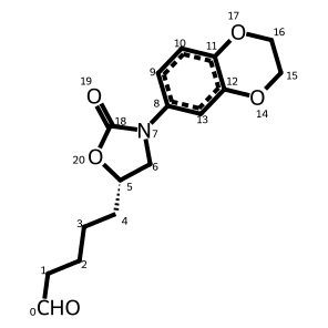 O=CCCCC[C@H]1CN(c2ccc3c(c2)OCCO3)C(=O)O1